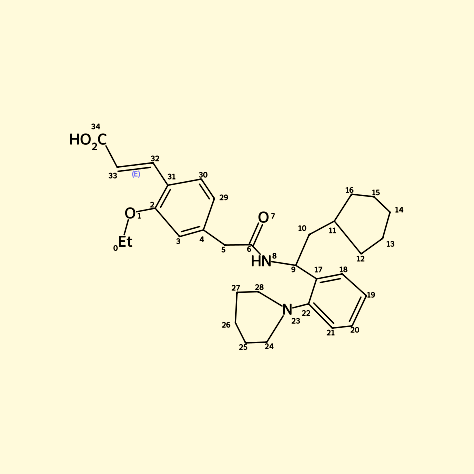 CCOc1cc(CC(=O)NC(CC2CCCCC2)c2ccccc2N2CCCCC2)ccc1/C=C/C(=O)O